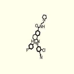 N#Cc1ccc(N2N=C3c4ccc(C(=O)NCCN5CCCC5)cc4CC[C@@H]3[C@@H]2c2ccc(F)cc2)cc1Cl